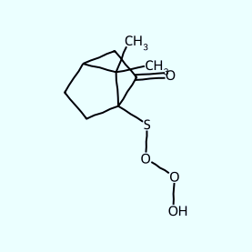 CC1(C)C2CCC1(SOOO)C(=O)C2